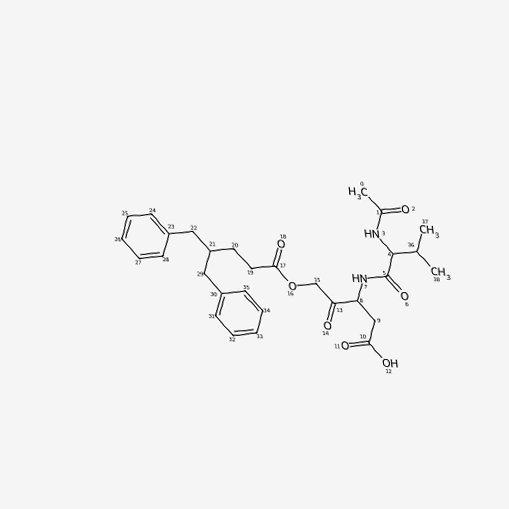 CC(=O)NC(C(=O)NC(CC(=O)O)C(=O)COC(=O)CCC(Cc1ccccc1)Cc1ccccc1)C(C)C